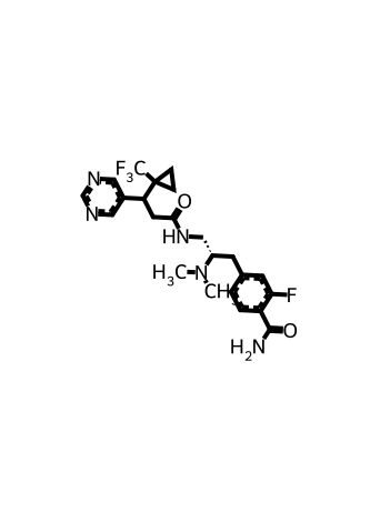 CN(C)[C@H](CNC(=O)CC(c1cncnc1)C1(C(F)(F)F)CC1)Cc1ccc(C(N)=O)c(F)c1